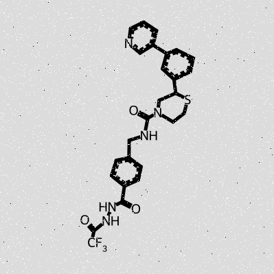 O=C(NNC(=O)C(F)(F)F)c1ccc(CNC(=O)N2CCSC(c3cccc(-c4cccnc4)c3)C2)cc1